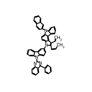 C=Cc1c(/C=C\C)n(-c2ccc3c(c2)c2ccccc2n3-c2nc(-c3ccccc3)c3ccccc3n2)c2ccc3c(c4ccccc4n3-c3ccc4ccccc4c3)c12